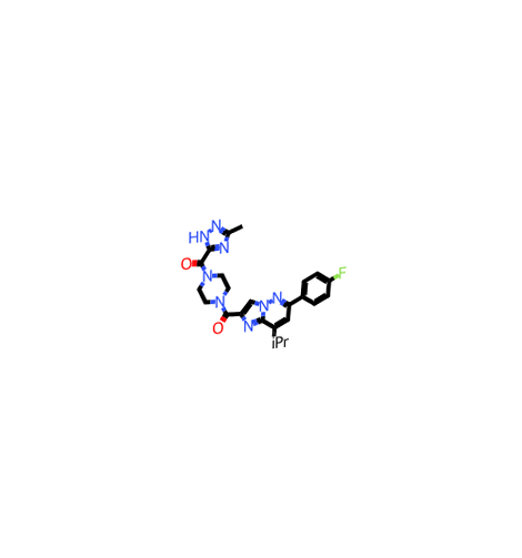 Cc1n[nH]c(C(=O)N2CCN(C(=O)c3cn4nc(-c5ccc(F)cc5)cc(C(C)C)c4n3)CC2)n1